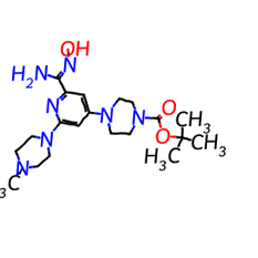 CN1CCN(c2cc(N3CCN(C(=O)OC(C)(C)C)CC3)cc(/C(N)=N/O)n2)CC1